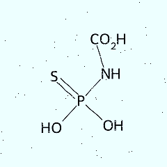 O=C(O)NP(O)(O)=S